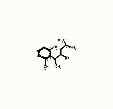 CCC(CC(N)C(=O)O)C(C)c1c(O)cccc1O